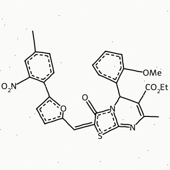 CCOC(=O)C1=C(C)N=c2s/c(=C/c3ccc(-c4ccc(C)cc4[N+](=O)[O-])o3)c(=O)n2C1c1ccccc1OC